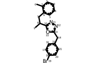 Cc1ccccc1CC(C)c1nnc(Cc2ccc(Br)cc2)o1